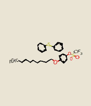 CCCCCCCCCCCCCCCCCCOc1ccc(OS(=O)(=O)C(F)(F)F)cc1.c1ccc(Sc2ccccc2)cc1